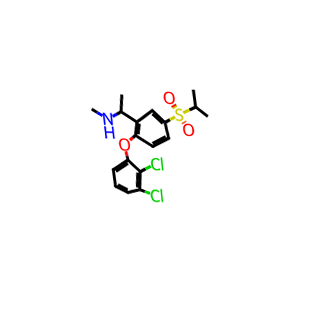 CNC(C)c1cc(S(=O)(=O)C(C)C)ccc1Oc1cccc(Cl)c1Cl